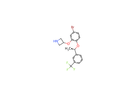 C[C@@H](Oc1ccc(Br)cc1OC1CNC1)c1cccc(C(F)(F)F)c1